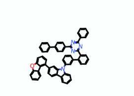 c1ccc(-c2ccc(-c3nc(-c4ccccc4)nc(-c4ccccc4-c4cccc(-n5c6ccccc6c6ccc(-c7cccc8oc9ccccc9c78)cc65)c4)n3)cc2)cc1